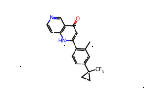 Cc1cc(C2(C(F)(F)F)CC2)ccc1-c1cc(=O)c2cnccc2[nH]1